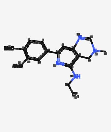 COc1ccc(-c2cc3c(c(NCC(F)(F)F)n2)CN(C)C=N3)cc1OC